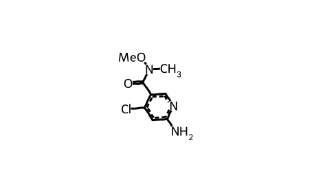 CON(C)C(=O)c1cnc(N)cc1Cl